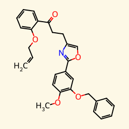 C=CCOc1ccccc1C(=O)CCc1coc(-c2ccc(OC)c(OCc3ccccc3)c2)n1